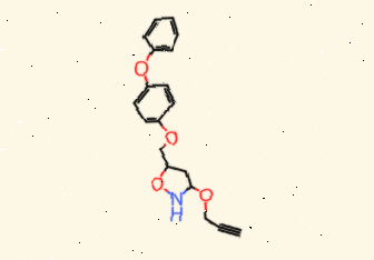 C#CCOC1CC(COc2ccc(Oc3ccccc3)cc2)ON1